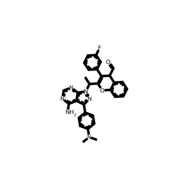 CC(C1=C(c2cccc(F)c2)C(C=O)c2ccccc2O1)n1nc(-c2ccc(N(C)C)cc2)c2c(N)ncnc21